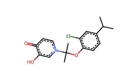 CC(C)c1ccc(OC(C)(C)n2ccc(=O)c(O)c2)c(Cl)c1